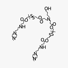 CN1CCN(CCCNCCC(=O)OCCSSC(C)(C)COC(=O)CCN(CCCCO)CCC(=O)OCCSSC(C)(C)COC(=O)CCNCCCN2CCN(C)CC2)CC1